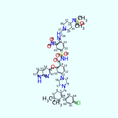 CC1(C)CCC(CN2CCN(c3ccc(C(=O)NS(=O)(=O)c4ccc(NCCN5CCC(N=S(C)(C)=O)CC5)c([N+](=O)[O-])c4)c(Oc4cnc5[nH]ccc5c4)c3)CC2)=C(c2ccc(Cl)cc2)C1